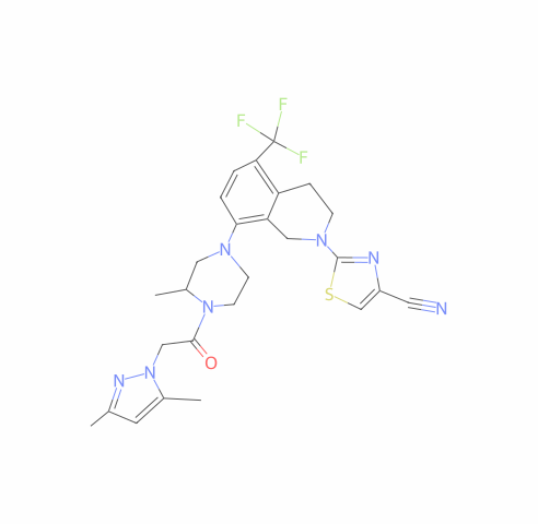 Cc1cc(C)n(CC(=O)N2CCN(c3ccc(C(F)(F)F)c4c3CN(c3nc(C#N)cs3)CC4)CC2C)n1